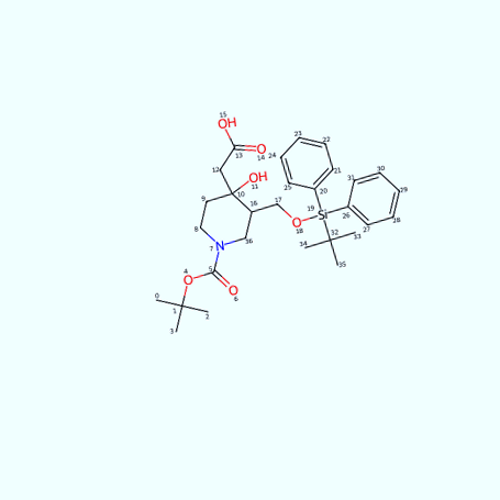 CC(C)(C)OC(=O)N1CCC(O)(CC(=O)O)C(CO[Si](c2ccccc2)(c2ccccc2)C(C)(C)C)C1